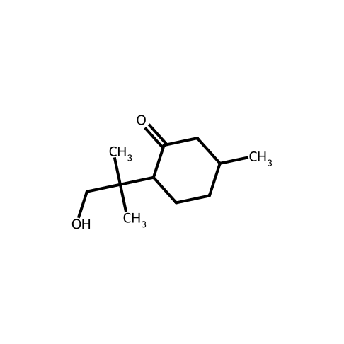 CC1CCC(C(C)(C)CO)C(=O)C1